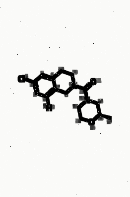 [2H]c1cc(Cl)cc2c1CN(C(=O)N1CCO[C@H](C)C1)CC2